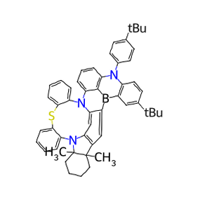 CC(C)(C)c1ccc(N2c3ccc(C(C)(C)C)cc3B3c4cc5c6cc4N(c4ccccc4Sc4ccccc4N6C4(C)CCCCC54C)c4cccc2c43)cc1